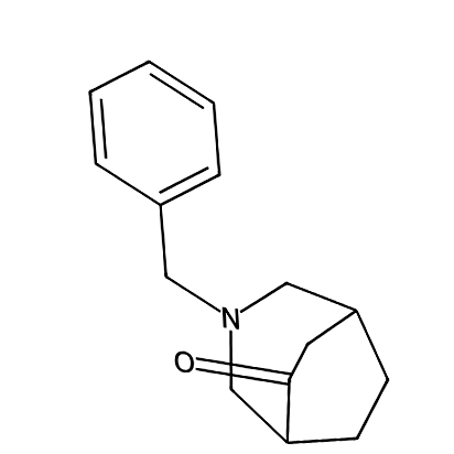 O=C1CC2CCC1CN(Cc1ccccc1)C2